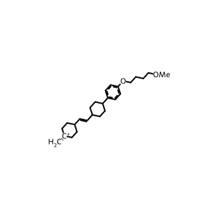 [CH2-][C+]1CCC(C=CC2CCC(c3ccc(OCCCCOC)cc3)CC2)CC1